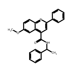 COc1ccc2nc(-c3ccccc3)cc(C(=O)NC(C)c3ccccc3)c2c1